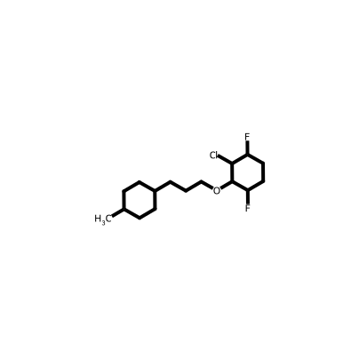 CC1CCC(CCCOC2C(F)CCC(F)C2Cl)CC1